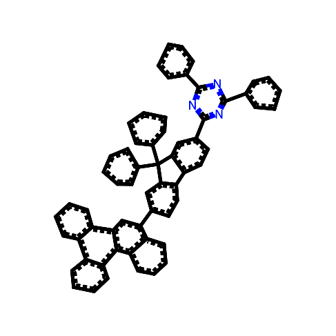 c1ccc(-c2nc(-c3ccccc3)nc(-c3ccc4c(c3)C(c3ccccc3)(c3ccccc3)c3cc(-c5cc6c7ccccc7c7ccccc7c6c6ccccc56)ccc3-4)n2)cc1